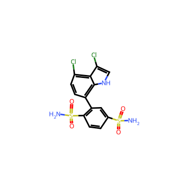 NS(=O)(=O)c1ccc(S(N)(=O)=O)c(-c2ccc(Cl)c3c(Cl)c[nH]c23)c1